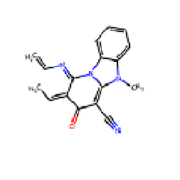 C=C/N=C1\C(=C/C)C(=O)C(C#N)=C2N(C)c3ccccc3N21